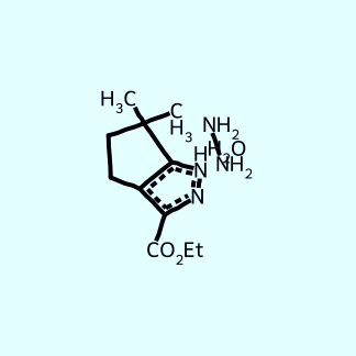 CCOC(=O)c1n[nH]c2c1CCC2(C)C.NN.O